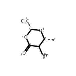 CCCC1C(=O)O[C@H](C(Cl)(Cl)Cl)O[C@@H]1C